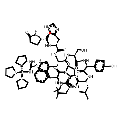 CCNC(=O)[C@@H]1CCCN1C(=O)[C@H](CCCNC(=N)N[PH](N1CCCC1)(N1CCCC1)N1CCCC1)NC(=O)[C@H](CC(C)C)NC(=O)[C@@H](CC(C)C)NC(=O)[C@@H](NC(=O)[C@H](CO)NC(=O)[C@H](Cc1c[nH]c2ccccc12)NC(=O)[C@H](Cc1c[nH]cn1)NC(=O)[C@@H]1CCC(=O)N1)c1ccc(O)cc1